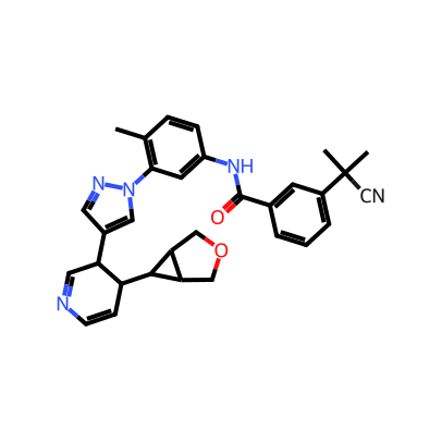 Cc1ccc(NC(=O)c2cccc(C(C)(C)C#N)c2)cc1-n1cc(C2C=NC=CC2C2C3COCC32)cn1